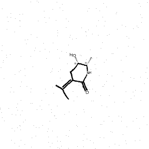 CC(C)=C1C[C@H](O)[C@H](C)NC1=O